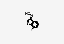 ON=C1COc2c(F)cccc21